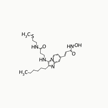 CCCCCCc1nc2cc(/C=C/C(=O)NO)ccn2c1NCCC(=O)NCCSC